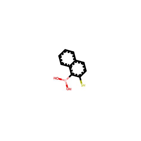 OB(O)c1c(S)ccc2ccccc12